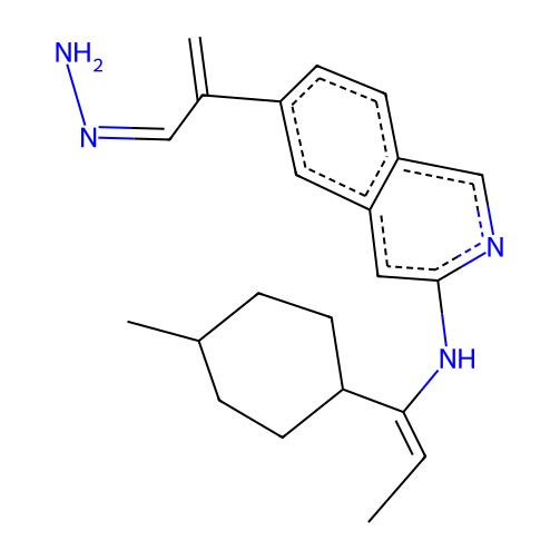 C=C(/C=N\N)c1ccc2cnc(N/C(=C/C)C3CCC(C)CC3)cc2c1